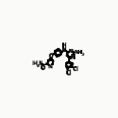 NC(=O)c1cc(Oc2ccc(Nc3cc(-c4ccc(Cl)c(Cl)c4)nc(N)n3)cc2)ccn1